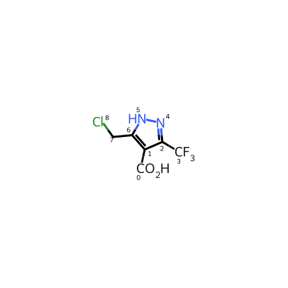 O=C(O)c1c(C(F)(F)F)n[nH]c1CCl